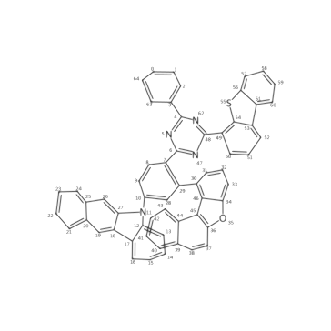 c1ccc(-c2nc(-c3ccc(-n4c5ccccc5c5cc6ccccc6cc54)cc3-c3cccc4oc5ccc6ccccc6c5c34)nc(-c3cccc4c3sc3ccccc34)n2)cc1